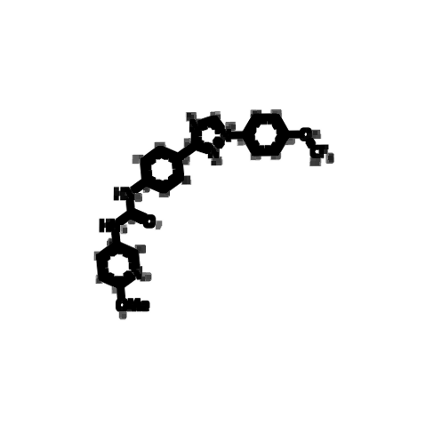 COc1ccc(NC(=O)Nc2ccc(-c3ncn(-c4ccc(OC(F)(F)F)cc4)n3)cc2)cn1